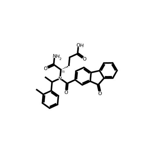 Cc1ccccc1C(C)N(C(=O)c1ccc2c(c1)C(=O)c1ccccc1-2)[C@@H](CCC(=O)O)C(N)=O